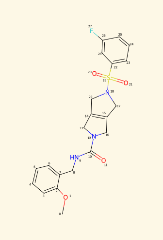 COc1ccccc1CNC(=O)N1CC2=C(C1)CN(S(=O)(=O)c1cccc(F)c1)C2